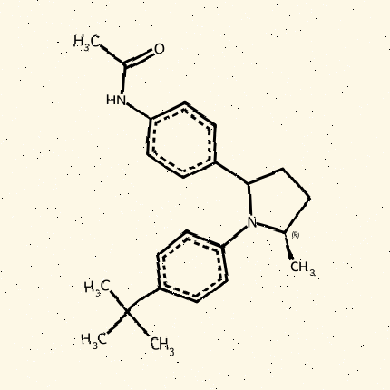 CC(=O)Nc1ccc(C2CC[C@@H](C)N2c2ccc(C(C)(C)C)cc2)cc1